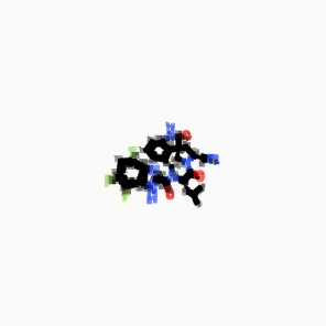 CC(C)C[C@@H](C(=O)N1C[C@]2(C[C@H]1C#N)C(=O)Nc1ccccc12)N(C)C(=O)c1nc2c(F)cc(F)c(F)c2[nH]1